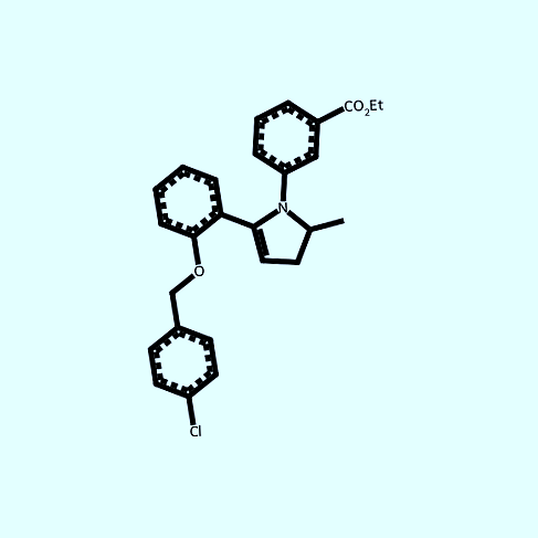 CCOC(=O)c1cccc(N2C(c3ccccc3OCc3ccc(Cl)cc3)=CCC2C)c1